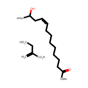 C=C(CC(=O)O)C(=O)O.CCCCCCC(O)C/C=C\CCCCCCCC(=O)OC